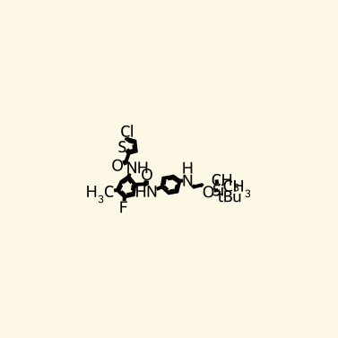 Cc1cc(NC(=O)c2ccc(Cl)s2)c(C(=O)Nc2ccc(NCCO[Si](C)(C)C(C)(C)C)cc2)cc1F